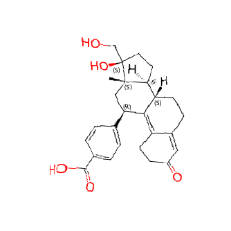 C[C@]12C[C@H](c3ccc(C(=O)O)cc3)C3=C4CCC(=O)C=C4CC[C@H]3[C@@H]1CC[C@@]2(O)CO